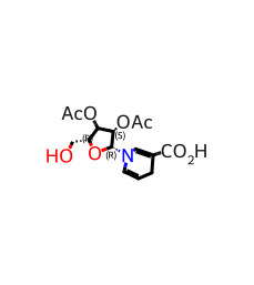 CC(=O)OC1[C@@H](CO)O[C@@H](N2C=CCC(C(=O)O)=C2)[C@H]1OC(C)=O